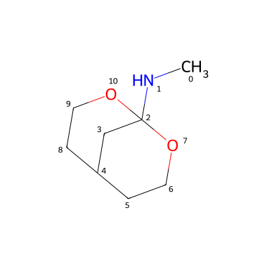 CNC12CC(CCO1)CCO2